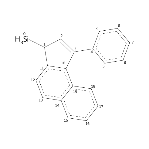 [SiH3]C1C=C(c2ccccc2)c2c1ccc1ccccc21